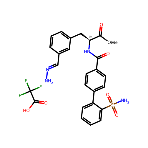 COC(=O)[C@H](Cc1cccc(C=NN)c1)NC(=O)c1ccc(-c2ccccc2S(N)(=O)=O)cc1.O=C(O)C(F)(F)F